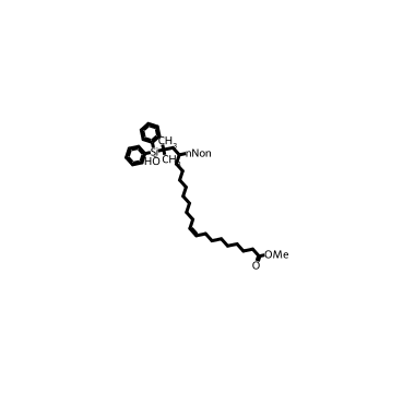 CCCCCCCCCC(CCCCCCCC/C=C\CCCCCCCC(=O)OC)CC(C)(C)[Si](O)(c1ccccc1)c1ccccc1